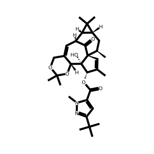 CC1=C[C@]23C(=O)[C@@H](C=C4COC(C)(C)O[C@H]4[C@]2(O)[C@H]1OC(=O)c1cc(C(C)(C)C)nn1C)[C@H]1[C@@H](C[C@H]3C)C1(C)C